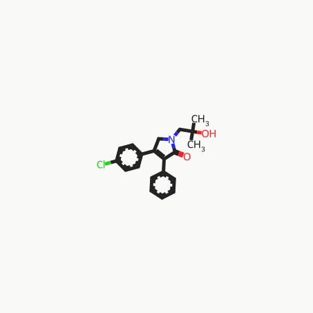 CC(C)(O)CN1CC(c2ccc(Cl)cc2)=C(c2ccccc2)C1=O